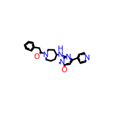 Cn1c(NC2CCCN(C(=O)Cc3ccccc3)CC2)nc(-c2ccncc2)cc1=O